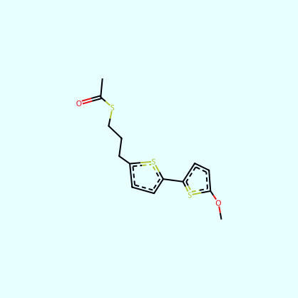 COc1ccc(-c2ccc(CCCSC(C)=O)s2)s1